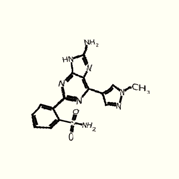 Cn1cc(-c2nc(-c3ccccc3S(N)(=O)=O)nc3[nH]c(N)nc23)cn1